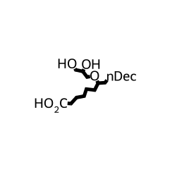 CCCCCCCCCCCC(CCCCCC(=O)O)OCC(O)CO